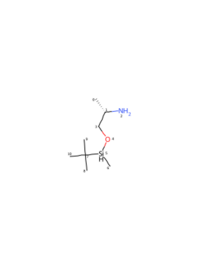 C[C@H](N)CO[SiH](C)C(C)(C)C